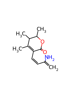 C=C(N)/C=C\C1=C(C)C(C)C(C)OC1=O